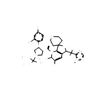 CC1C(Cl)=CC2=C(N1C(=O)[C@@H]1CN(C(C)(C)C)C[C@H]1c1ccc(F)cc1F)C1(CCNCC1)OC2C(C)(C)c1ncnn1C